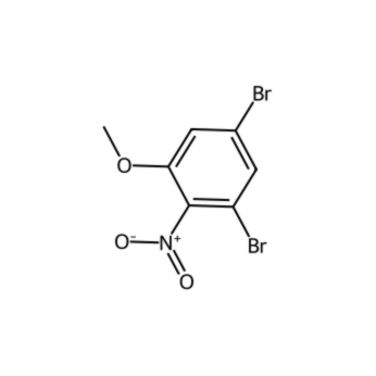 COc1cc(Br)cc(Br)c1[N+](=O)[O-]